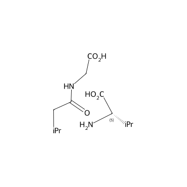 CC(C)CC(=O)NCC(=O)O.CC(C)[C@H](N)C(=O)O